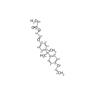 C=COc1ccc(C(C)(C)c2ccc(OCCOC(=O)C=C)cc2)cc1